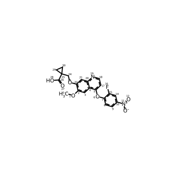 COc1cc2c(Oc3ccc([N+](=O)[O-])cc3F)ccnc2cc1OCC1(C(=O)O)CC1